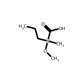 CCC[N+](C)(OC)C(=O)O